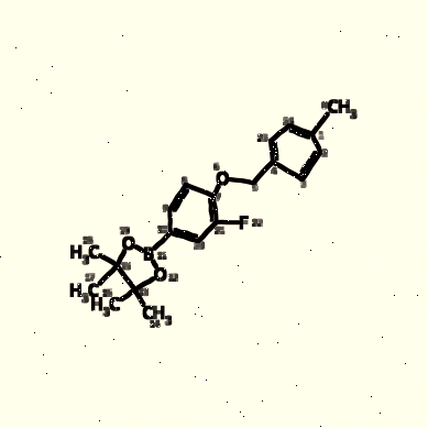 Cc1ccc(COc2ccc(B3OC(C)(C)C(C)(C)O3)cc2F)cc1